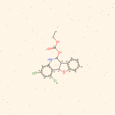 CCOC(=O)OC1Nc2cc(Cl)cc(Cl)c2C2Oc3ccccc3C12